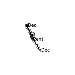 CCCCCC.CCCCCCCCCCCCCCCCCCCCOC(=O)CCCCCCCCCCCCCCCCC